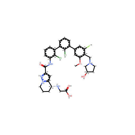 COc1cc(-c2cccc(-c3cccc(NC(=O)c4cc5n(n4)CCC[C@H]5NCC(=O)O)c3Cl)c2Cl)cc(F)c1CN1CC[C@@H](O)C1